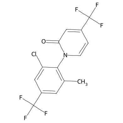 Cc1cc(C(F)(F)F)cc(Cl)c1-n1ccc(C(F)(F)F)cc1=O